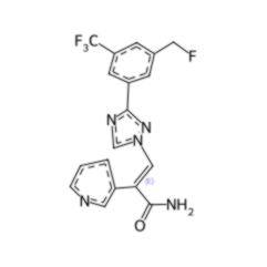 NC(=O)/C(=C/n1cnc(-c2cc(CF)cc(C(F)(F)F)c2)n1)c1cccnc1